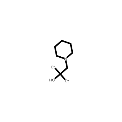 CCC(O)(CC)CN1CC[CH]CC1